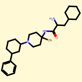 N#CC1(NC(=O)C(N)CC2CCCCC2)CCN(C2CCCC(c3ccccc3)C2)CC1